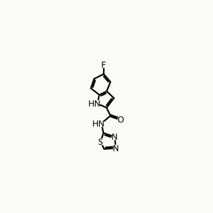 O=C(Nc1nncs1)c1cc2cc(F)ccc2[nH]1